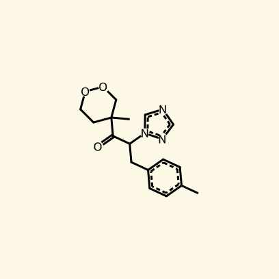 Cc1ccc(CC(C(=O)C2(C)CCOOC2)n2cncn2)cc1